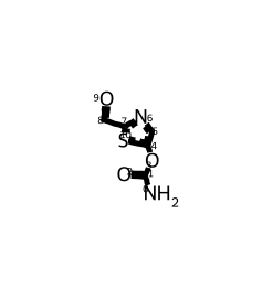 NC(=O)Oc1cnc(C=O)s1